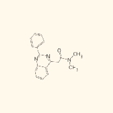 CN(C)C(=O)Cc1nc(-c2ccccc2)nc2ccccc12